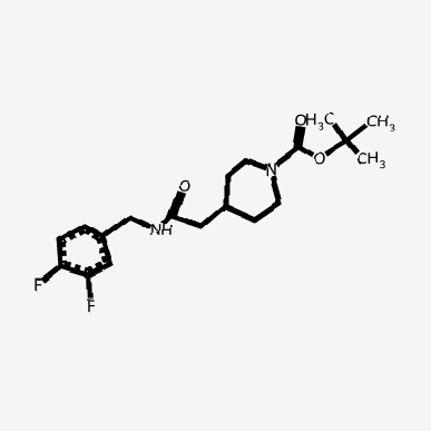 CC(C)(C)OC(=O)N1CCC(CC(=O)NCc2ccc(F)c(F)c2)CC1